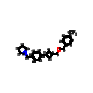 FC(F)(F)c1ccc(COCC2CC(c3ccc(CN4CCCC4)cc3)C2)cc1